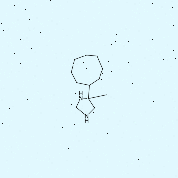 CC1(C2CCCCCCC2)CNCN1